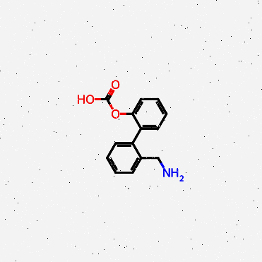 NCc1ccccc1-c1ccccc1OC(=O)O